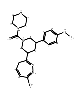 CC(C)C1=NN=C(C2CC(c3ccc(OC(F)(F)F)cc3)CN(C(=O)N3CCOCC3)C2)CC=C1